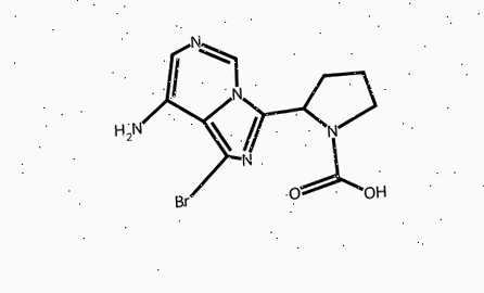 Nc1cncn2c(C3CCCN3C(=O)O)nc(Br)c12